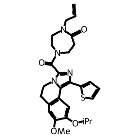 C=CCN1CCN(C(=O)c2nc(-c3cccs3)c3n2CCc2cc(OC)c(OC(C)C)cc2-3)CCC1=O